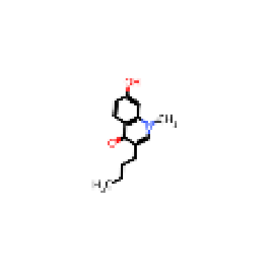 CCCCc1cn(C)c2cc(O)ccc2c1=O